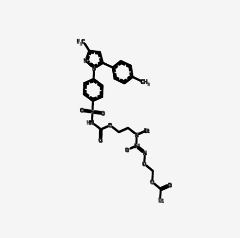 CCC(=O)OCON=[N+]([O-])N(CC)CCOC(=O)NS(=O)(=O)c1ccc(-n2nc(C(F)(F)F)cc2-c2ccc(C)cc2)cc1